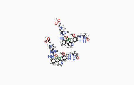 COC(=O)CCN1CCc2c(nc(C(=O)Nc3cccc(-c4ccnc(-c5ccc(CNC[C@@H]6CCC(=O)N6)c(OC)c5)c4Cl)c3Cl)n2C)C1.COC(=O)CCN1CCc2c(nc(C(=O)Nc3cccc(-c4ccnc(-c5ccc(CNC[C@@H]6CCC(=O)N6)c(OC)c5)c4Cl)c3Cl)n2C)C1